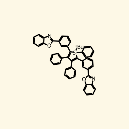 CC(C)(C)[Si]1(c2ccccc2)C(c2cccc(-c3nc4ccccc4o3)c2)=C(c2ccccc2)C(c2ccccc2)=C1c1cccc(-c2nc3ccccc3o2)c1